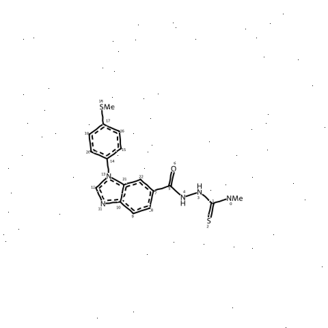 CNC(=S)NNC(=O)c1ccc2ncn(-c3ccc(SC)cc3)c2c1